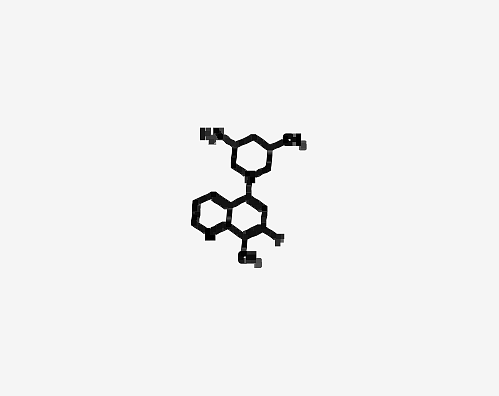 Cc1c(F)cc(N2CC(C)CC(N)C2)c2cccnc12